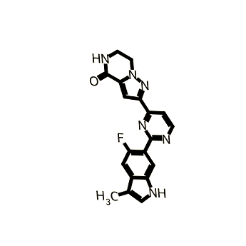 Cc1c[nH]c2cc(-c3nccc(-c4cc5n(n4)CCNC5=O)n3)c(F)cc12